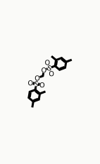 Cc1ccc(S(=O)(=O)OCOS(=O)(=O)c2ccc(C)cc2C)c(C)c1